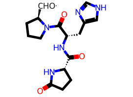 O=[C][C@@H]1CCCN1C(=O)[C@H](Cc1c[nH]cn1)NC(=O)[C@@H]1CCC(=O)N1